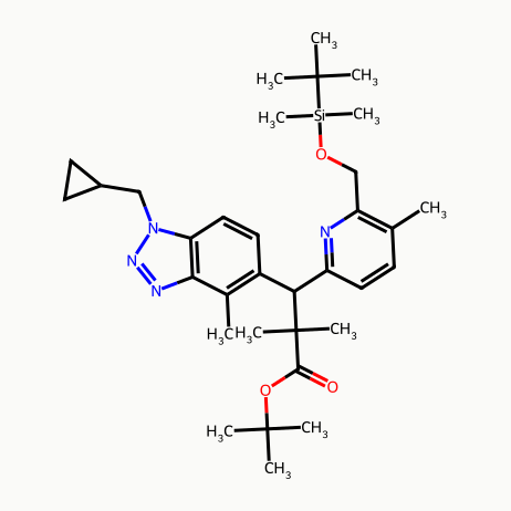 Cc1ccc(C(c2ccc3c(nnn3CC3CC3)c2C)C(C)(C)C(=O)OC(C)(C)C)nc1CO[Si](C)(C)C(C)(C)C